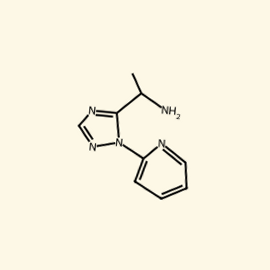 CC(N)c1ncnn1-c1ccccn1